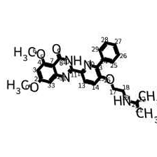 COc1cc(OC)c2c(=O)[nH]c(-c3ccc(OCCNC(C)C)c(-c4ccccc4)n3)nc2c1